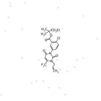 C=CCn1c(C(F)(F)F)cc(=O)n(-c2ccc(Cl)c(C(=O)OC(C)(C)C(=O)OCC)c2)c1=O